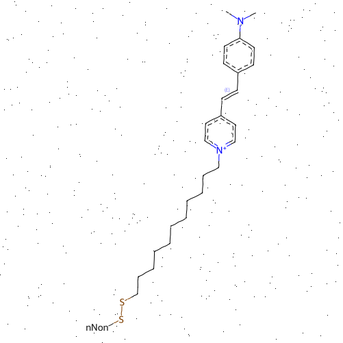 CCCCCCCCCSSCCCCCCCCCCC[n+]1ccc(/C=C/c2ccc(N(C)C)cc2)cc1